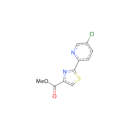 COC(=O)c1csc(-c2ccc(Cl)cn2)n1